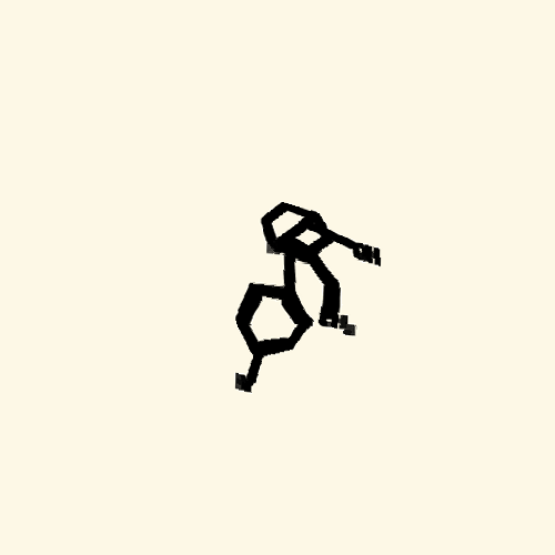 C=CC1(c2ccc(Br)cc2)C(O)C2CCN1CC2